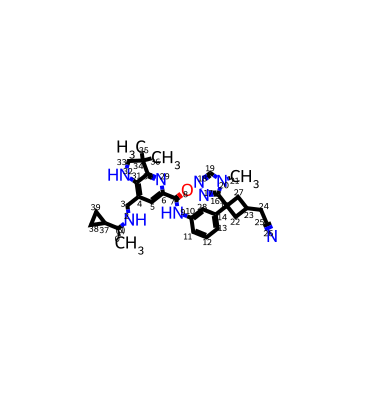 C[C@H](NCc1cc(C(=O)Nc2cccc(C3(c4nncn4C)CC(CC#N)C3)c2)nc2c1NCC2(C)C)C1CC1